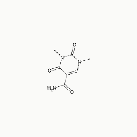 Cn1cc(C(N)=O)c(=O)n(C)c1=O